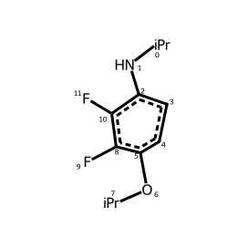 CC(C)Nc1ccc(OC(C)C)c(F)c1F